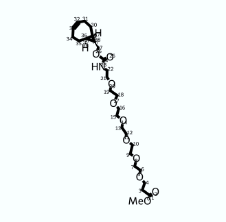 COC(=O)CCOCCOCCOCCOCCOCCOCCNC(=O)OC[C@@H]1[C@@H]2CCC#CCC[C@@H]21